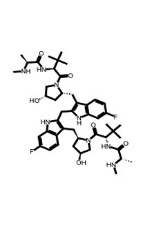 CN[C@@H](C)C(=O)N[C@H](C(=O)N1C[C@@H](O)C[C@H]1Cc1c(Cc2[nH]c3cc(F)ccc3c2C[C@@H]2C[C@H](O)CN2C(=O)[C@@H](NC(=O)[C@H](C)NC)C(C)(C)C)[nH]c2cc(F)ccc12)C(C)(C)C